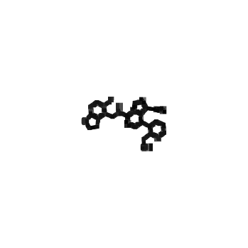 N#Cc1ncn2c(NCc3c(F)ccc4c3CCO4)ncc(-c3cccnc3CO)c12